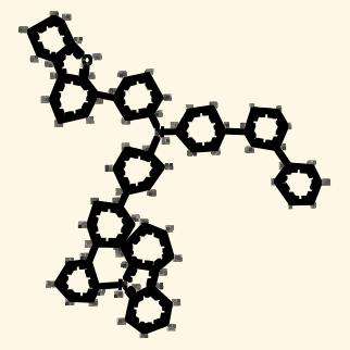 c1ccc(-c2cccc(-c3ccc(N(c4ccc(-c5ccc(-c6ccccc6-n6c7ccccc7c7ccccc76)cc5)cc4)c4cccc(-c5cccc6c5oc5ccccc56)c4)cc3)c2)cc1